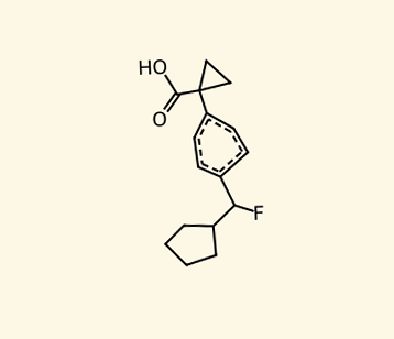 O=C(O)C1(c2ccc(C(F)C3CCCC3)cc2)CC1